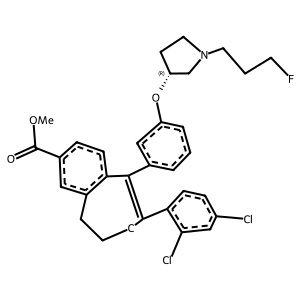 COC(=O)c1ccc2c(c1)CCCC(c1ccc(Cl)cc1Cl)=C2c1cccc(O[C@@H]2CCN(CCCF)C2)c1